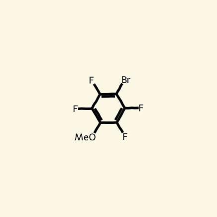 COc1c(F)c(F)c(Br)c(F)c1F